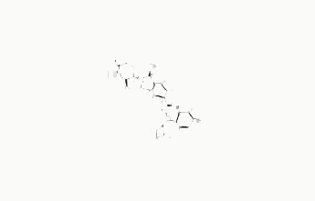 O=C1CCC(N2Cc3cc(C(=O)N[C@H](c4ccc(Cl)cc4)C4CCC4)ccc3C2=O)C(=O)N1